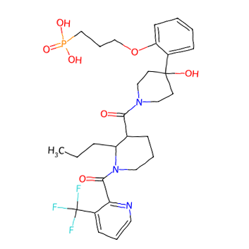 CCCC1C(C(=O)N2CCC(O)(c3ccccc3OCCCP(=O)(O)O)CC2)CCCN1C(=O)c1ncccc1C(F)(F)F